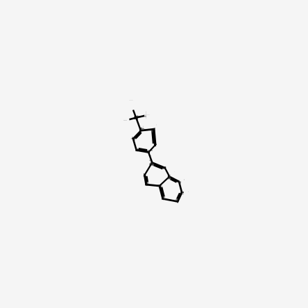 FC(F)(F)c1ccc(-c2ccc3ccccc3c2)cc1